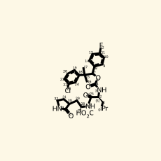 CC(C)C[C@H](NC(=O)OC(c1ccc(F)cc1)C(C)(C)c1cccc(Cl)c1)C(=O)N[C@@H](CC1CCNC1=O)C(=O)O